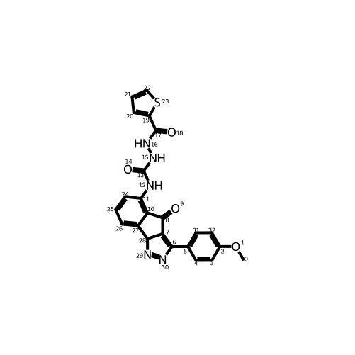 COc1ccc(C2=C3C(=O)c4c(NC(=O)NNC(=O)c5cccs5)cccc4C3N=N2)cc1